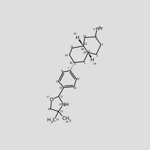 CCCC1CC[C@@H]2C[C@H](c3ccc(C4NC(C)(C)CO4)cc3)CC[C@@H]2C1